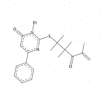 C=C(C)C(=O)C(C)(C)C(C)(C)Sc1nc(-c2ccccc2)cc(=O)n1CC